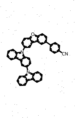 N#Cc1ccc(-c2ccc3oc4ccc(-n5c6ccccc6c6cc(-n7c8ccccc8c8ccccc87)ccc65)cc4c3c2)cc1